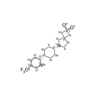 O=S1(=O)CC2(CCN([C@H]3CC[C@@H](c4ccc(C(F)(F)F)cn4)CC3)C2)C1